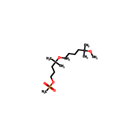 C[Si](C)(CCC[SiH2]O[Si](C)(C)CCCOS(C)(=O)=O)O[SiH3]